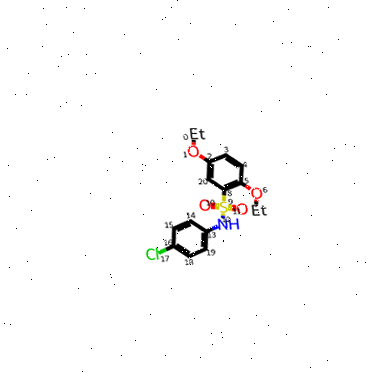 CCOc1ccc(OCC)c(S(=O)(=O)Nc2ccc(Cl)cc2)c1